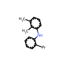 Cc1cccc(Nc2ccccc2C(C)C)c1C